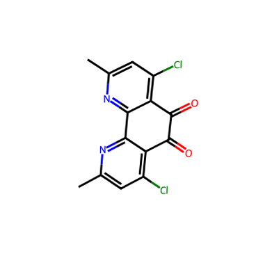 Cc1cc(Cl)c2c(n1)-c1nc(C)cc(Cl)c1C(=O)C2=O